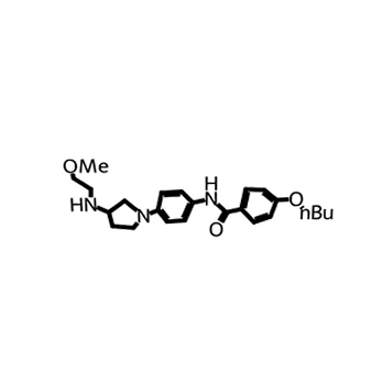 CCCCOc1ccc(C(=O)Nc2ccc(N3CCC(NCCOC)C3)cc2)cc1